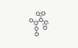 c1ccc(-c2ccc(-c3cc(-c4cc(-c5ccnc6c5sc5ccccc56)cc(-n5c6ccccc6c6ccccc65)c4)nc(-c4ccccc4)n3)cc2)cc1